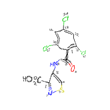 O=C(O)c1nscc1NC(=O)c1c(Cl)cc(Cl)cc1Cl